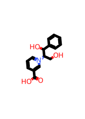 O=C(O)c1ccc[n+](C(CO)C(O)c2ccccc2)c1